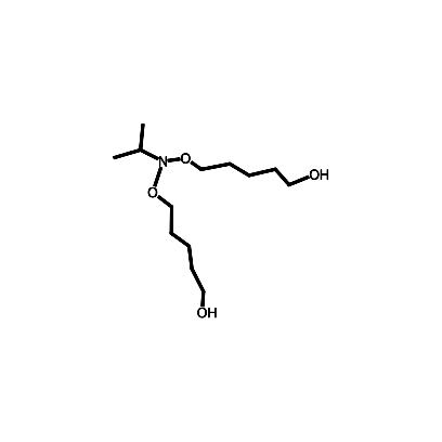 CC(C)N(OCCCCCO)OCCCCCO